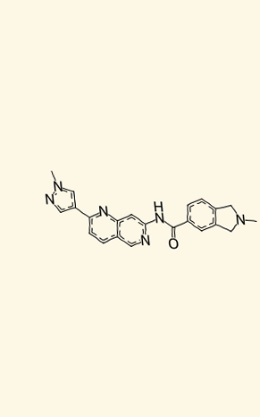 CN1Cc2ccc(C(=O)Nc3cc4nc(-c5cnn(C)c5)ccc4cn3)cc2C1